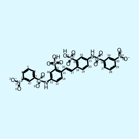 O=[N+]([O-])c1cccc(S(=O)(=O)Nc2ccc(/C=C/c3ccc(NS(=O)(=O)c4cccc([N+](=O)[O-])c4)cc3S(=O)(=O)O)c(S(=O)(=O)O)c2)c1